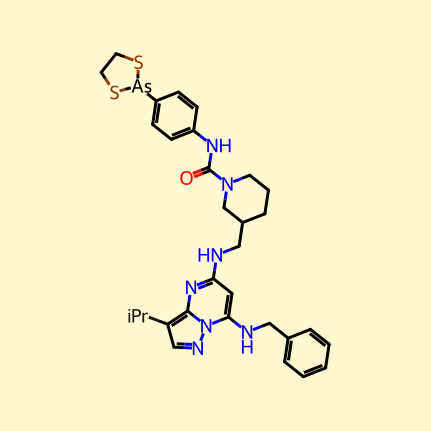 CC(C)c1cnn2c(NCc3ccccc3)cc(NCC3CCCN(C(=O)Nc4ccc([As]5SCCS5)cc4)C3)nc12